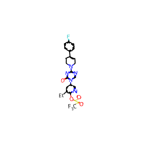 CCc1cc(-n2cnc(N3CC=C(c4ccc(F)cc4)CC3)nc2=O)cnc1OS(=O)(=O)C(F)(F)F